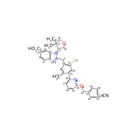 Cc1cc(Cc2nc3ccc(C(=O)O)cc3n2C2COCC2(C)C)c(F)cc1-c1cccc(OCc2ccc(C#N)cc2)n1